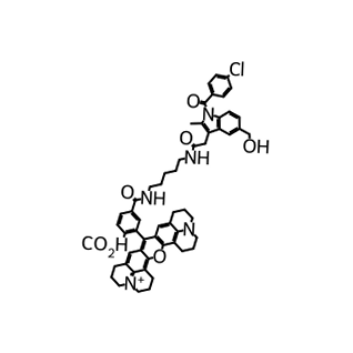 Cc1c(CC(=O)NCCCCCNC(=O)c2ccc(C(=O)O)c(C3=c4cc5c6c(c4Oc4c3cc3c7c4CCCN7CCC3)CCC[N+]=6CCC5)c2)c2cc(CO)ccc2n1C(=O)c1ccc(Cl)cc1